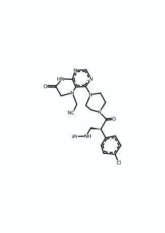 CC(C)NC[C@@H](C(=O)N1CCN(c2ncnc3c2N(CC#N)CC(=O)N3)CC1)c1ccc(Cl)cc1